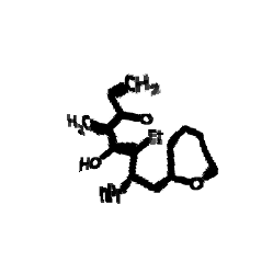 C=CC(=O)C(=C)/C(O)=C(\CC)[C@H](CCC)C[C@H]1CCCCO1